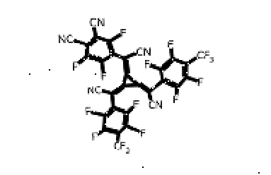 N#CC(=C1C(=C(/C#N)c2c(F)c(F)c(C(F)(F)F)c(F)c2F)/C1=C(/C#N)c1c(F)c(F)c(C(F)(F)F)c(F)c1F)c1c(F)c(F)c(C#N)c(C#N)c1F